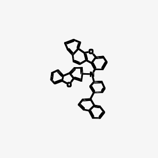 c1cc(-c2cccc3ccccc23)cc(N(c2ccc3c(c2)oc2ccccc23)c2cccc3oc4c5ccccc5ccc4c23)c1